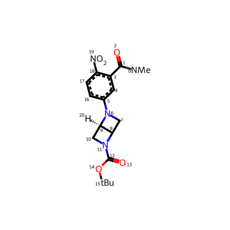 CNC(=O)c1cc(N2CC3[C@H]2CN3C(=O)OC(C)(C)C)ccc1[N+](=O)[O-]